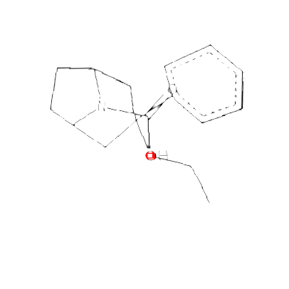 CCOC(=O)N1C2CCC1CC(O)(c1ccccc1)C2